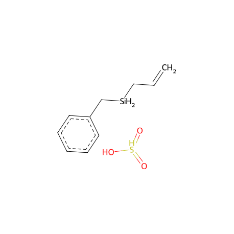 C=CC[SiH2]Cc1ccccc1.O=[SH](=O)O